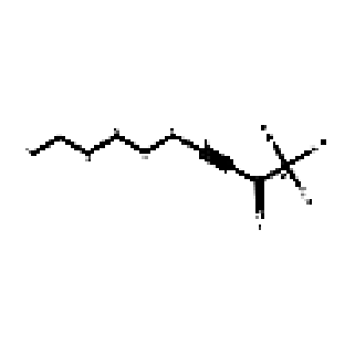 CCCCCCC#CC(=O)C(F)(F)F